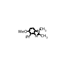 COc1ccc2c(nc(C)n2C)c1C(C)C